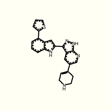 C1=C(c2cnc3[nH]nc(-c4cc5c(-c6cccs6)cccc5[nH]4)c3c2)CCNC1